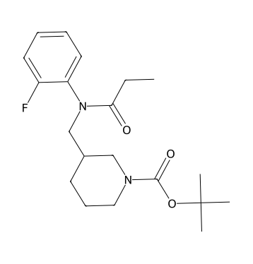 CCC(=O)N(CC1CCCN(C(=O)OC(C)(C)C)C1)c1ccccc1F